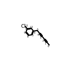 CC#CC#CCc1cc[c]c(Cl)c1